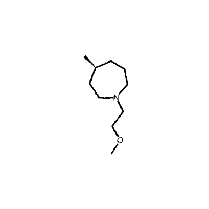 COCCN1CCC[C@H](C)CC1